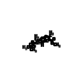 COC(=O)c1cc2[nH]c(C(C)NC(=O)OC(C)(C)C)cc2cc1C